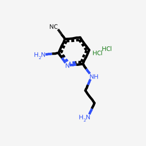 Cl.Cl.N#Cc1ccc(NCCN)nc1N